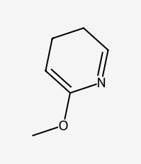 COC1=CCCC=N1